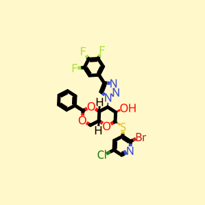 O[C@@H]1[C@@H](n2cc(-c3cc(F)c(F)c(F)c3)nn2)[C@H]2OC(c3ccccc3)OC[C@H]2O[C@@H]1Sc1cc(Cl)cnc1Br